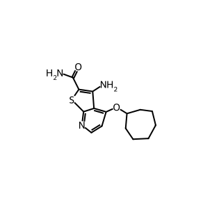 NC(=O)c1sc2nccc(OC3CCCCCC3)c2c1N